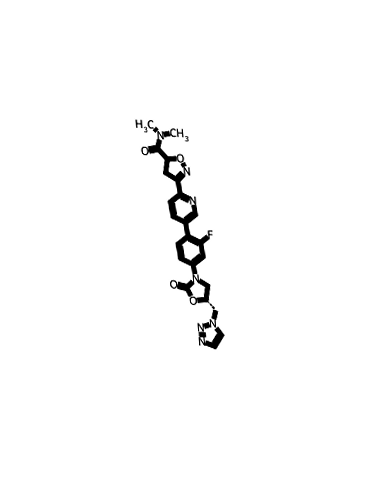 CN(C)C(=O)C1CC(c2ccc(-c3ccc(N4C[C@H](Cn5ccnn5)OC4=O)cc3F)cn2)=NO1